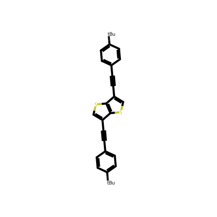 CC(C)(C)c1ccc(C#Cc2csc3c(C#Cc4ccc(C(C)(C)C)cc4)csc23)cc1